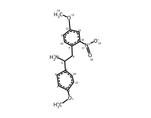 COc1ccc(C(N)Cc2ccc(OC)cc2[N+](=O)[O-])cc1